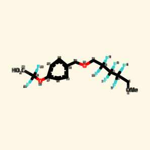 COCC(F)(F)C(F)(F)C(F)(F)COCc1ccc(OC(F)(F)C(=O)O)cc1